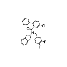 O=C(c1cc(Cl)ccc1-c1ccccc1)N(Cc1ccc(F)c(F)c1)C1Cc2ccccc2C1